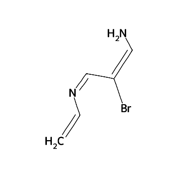 C=C/N=C\C(Br)=C/N